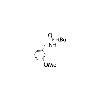 COc1cccc(CNC(=O)C(C)(C)C)c1